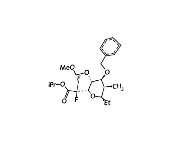 CC[C@H]1O[C@H](C(F)(F)C(=O)OC(C)C)[C@H](OCOC)[C@@H](OCc2ccccc2)[C@H]1C